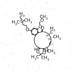 COCOc1cc(OCC[Si](C)(C)C)cc2c1C(=O)C[C@@H](C)[C@H](C)/C=C\C(C)[C@H]1OC(C)(C)O[C@H]1CCC2